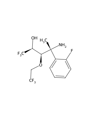 C[C@@](N)(c1ccccc1F)[C@@H](OCC(F)(F)F)[C@H](O)C(F)(F)F